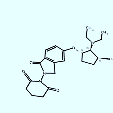 CCN(CC)[C@@H]1[C@@H](Oc2ccc3c(c2)CN(N2C(=O)CCCC2=O)C3=O)CC[C@@H]1C